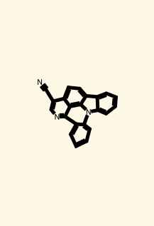 N#Cc1cnc2c3ccccc3n3c4ccccc4c4ccc1c2c43